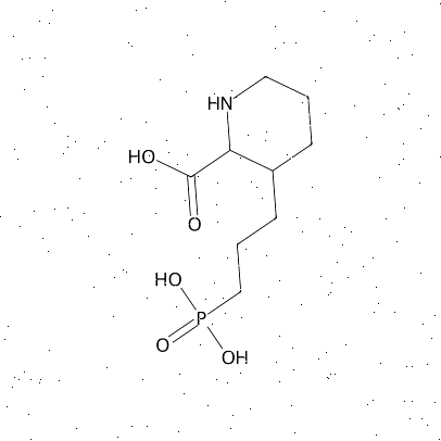 O=C(O)C1NCCCC1CCCP(=O)(O)O